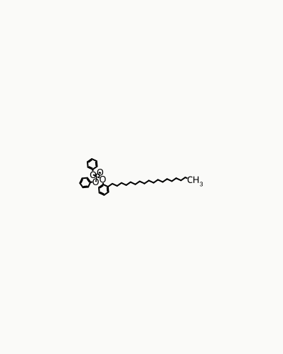 CCCCCCCCCCCCCCCCCCc1ccccc1OP(=O)(Oc1ccccc1)Oc1ccccc1